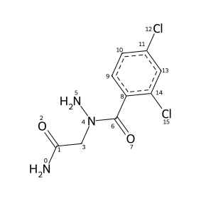 NC(=O)CN(N)C(=O)c1ccc(Cl)cc1Cl